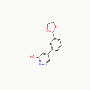 Oc1cc(-c2cccc(C3OCCO3)c2)ccn1